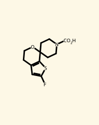 O=C(O)N1CCC2(CC1)OCCc1cc(F)sc12